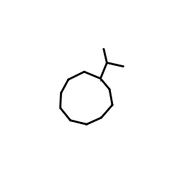 CC(C)[C]1CCCCCCCCC1